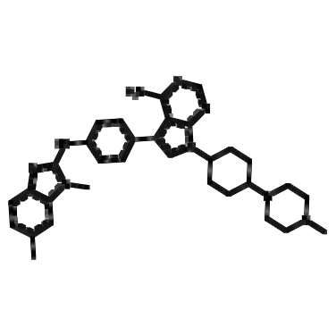 Cc1ccc2nc(Nc3ccc(-c4cn(C5CCC(N6CCN(C)CC6)CC5)c5ncnc(N)c45)cc3)n(C)c2c1